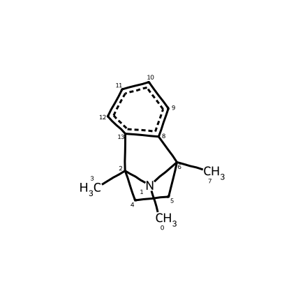 CN1C2(C)CCC1(C)c1ccccc12